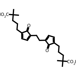 CC(C)(CCCC1=CC=C(CCC2=CC=C(CCCC(C)(C)C(=O)O)C2=O)C1=O)C(=O)O